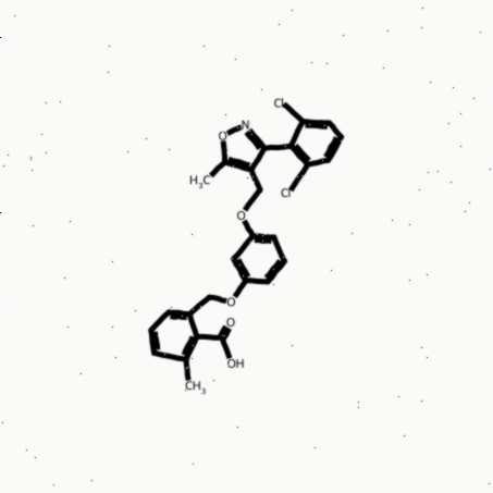 Cc1cccc(COc2cccc(OCc3c(-c4c(Cl)cccc4Cl)noc3C)c2)c1C(=O)O